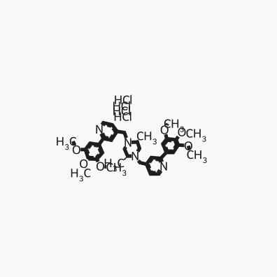 COc1cc(-c2cc(CN3C[C@H](C)N(Cc4ccnc(-c5cc(OC)c(OC)c(OC)c5)c4)C[C@H]3C)ccn2)cc(OC)c1OC.Cl.Cl.Cl.Cl